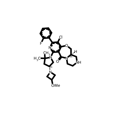 COC1CN([C@H]2CN(c3nc(-c4ccccc4F)c(Cl)c4c3C(=O)N3CCNC[C@@H]3CO4)C(C)(C)C2)C1